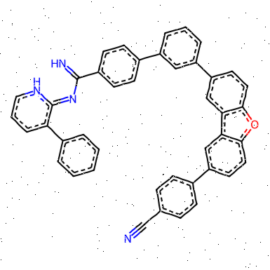 N#Cc1ccc(-c2ccc3oc4ccc(-c5cccc(-c6ccc(C(=N)/N=c7\[nH]cccc7-c7ccccc7)cc6)c5)cc4c3c2)cc1